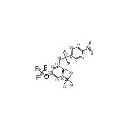 CN(C)c1ccc(C(C)(C)Cc2cc(OC(F)(F)F)cc(C(C)(C)C)c2)cc1